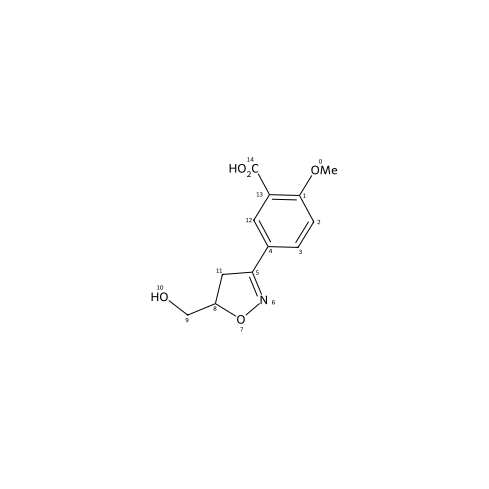 COc1ccc(C2=NOC(CO)C2)cc1C(=O)O